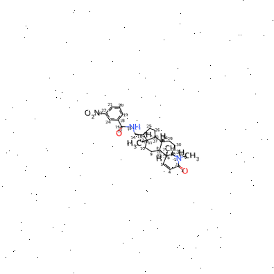 CN1C(=O)C=C[C@]2(C)[C@H]3CC[C@]4(C)[C@@H](CNC(=O)c5cccc([N+](=O)[O-])c5)CC[C@H]4[C@@H]3CC[C@@H]12